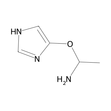 CC(N)Oc1c[nH]cn1